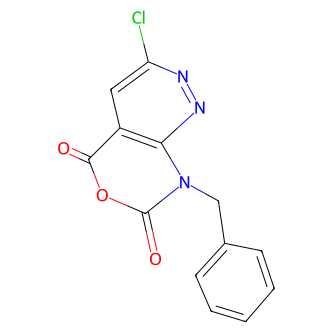 O=c1oc(=O)n(Cc2ccccc2)c2nnc(Cl)cc12